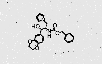 O=C(N[C@H](CN1C=C=C=C1)[C@H](O)c1ccc2c(c1)OCCO2)OCc1ccccc1